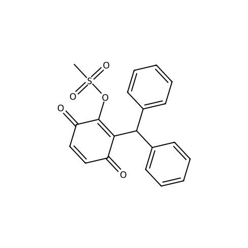 CS(=O)(=O)OC1=C(C(c2ccccc2)c2ccccc2)C(=O)C=CC1=O